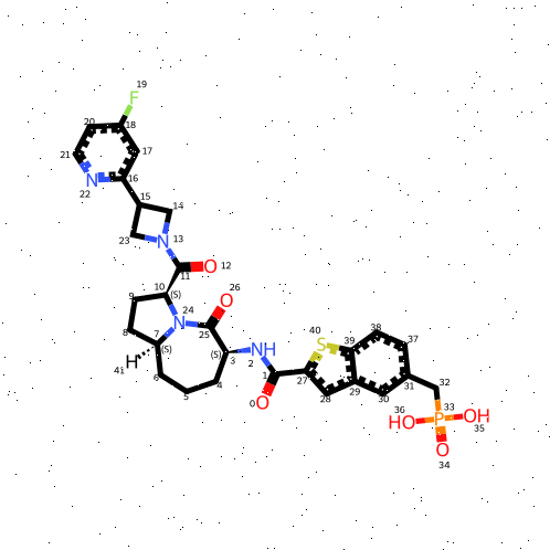 O=C(N[C@H]1CCC[C@H]2CC[C@@H](C(=O)N3CC(c4cc(F)ccn4)C3)N2C1=O)c1cc2cc(CP(=O)(O)O)ccc2s1